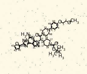 COCCOc1ccc(N2CCN(C(=O)C(C3CCN(C(=O)OC(C)(C)C)CC3)n3ncc4c3nc(N)n3nc(-c5ccco5)nc43)CC2)cc1